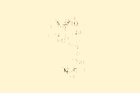 CCC(C)(CCOC(C)(C)CCNC(=O)CCOCCN(CCOCCC(=O)NCCC(C)(C)OCCC(C)(C)N=[N+]=[N-])CCOCCC(=O)NCCC(C)(CC)OCCC(C)(C)N=[N+]=[N-])N=[N+]=[N-]